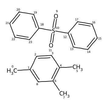 Cc1ccc(C)c(C)c1.O=S(=O)(c1ccccc1)c1ccccc1